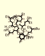 CCCC(CC)CCC(C)C[B-](CC(C)CCC(CC)CCC)(CC(C)CCC(CC)CCC)CC(C)CCC(CC)CCC.CCCCC(CC)CC[PH+](CCC)c1cc(F)ccc1F